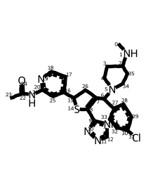 CNC1CCN(C(C2=C(c3nnc[nH]3)SC(c3ccnc(NC(C)=O)c3)C2)c2ccc(Cl)cc2)CC1